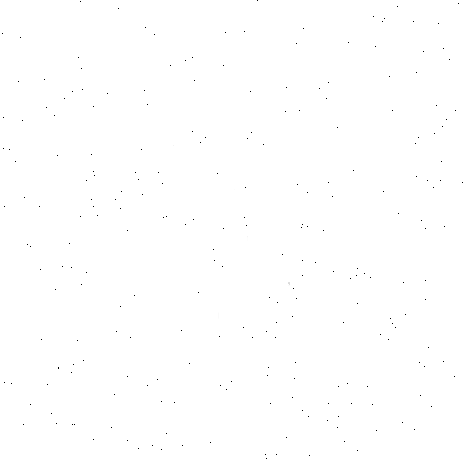 CCOC(=O)/C(O)=C/C(=O)c1ccc(Cl)c(C)c1